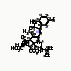 CCN(CC)CCN1C(/C=C2\C(=O)Nc3ccc(F)cc32)=C(C)C(C(N)=O)C1(C)C(C(=O)O)C(O)C(=O)O